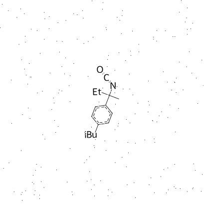 CCC(C)c1ccc(C(C)(CC)N=C=O)cc1